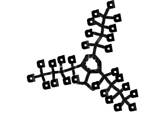 C[C](C)c1c(C(Cl)(Cl)C(Cl)(Cl)C(Cl)(Cl)C(Cl)(Cl)Cl)cc(C(Cl)(Cl)C(Cl)(Cl)C(Cl)(Cl)C(Cl)(Cl)Cl)cc1C(Cl)(Cl)C(Cl)(Cl)C(Cl)(Cl)C(Cl)(Cl)Cl